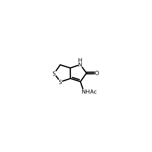 CC(=O)NC1=C2SSCC2NC1=O